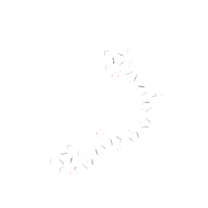 Cc1c(F)c(F)c(C(=O)c2ccc(-c3cc4c(s3)-c3sc(-c5ccc(-c6ccc(-c7cc8c(s7)-c7sc(-c9ccc(C(=O)c%10c(F)c(F)c(C)c(F)c%10F)s9)cc7C8=O)s6)s5)cc3C4=O)s2)c(F)c1F